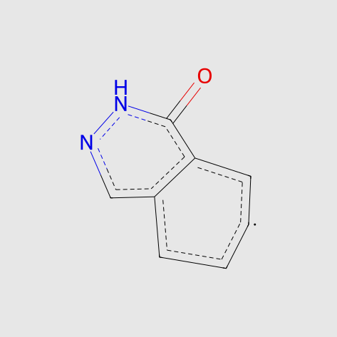 O=c1[nH]ncc2cc[c]cc12